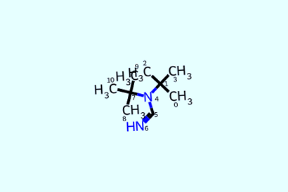 CC(C)(C)N(C=N)C(C)(C)C